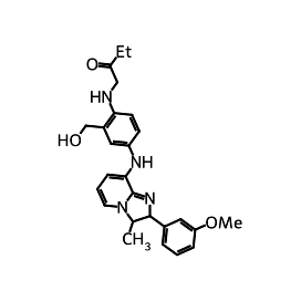 CCC(=O)CNc1ccc(NC2=CC=CN3C2=NC(c2cccc(OC)c2)C3C)cc1CO